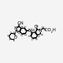 N#Cc1nn(C2CCCCO2)c2ccc(Nc3cccc4c3C(=O)N(CC(=O)O)C4)cc12